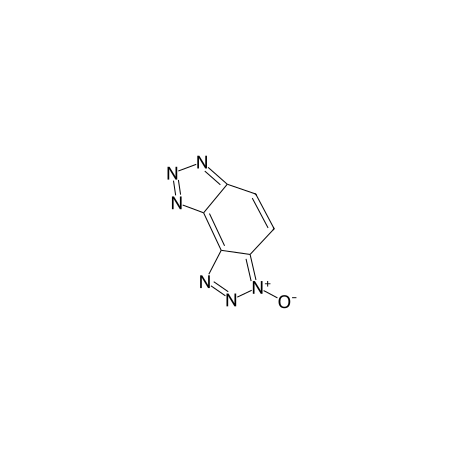 [O-][N+]1=c2ccc3c(c2N=N1)N=NN=3